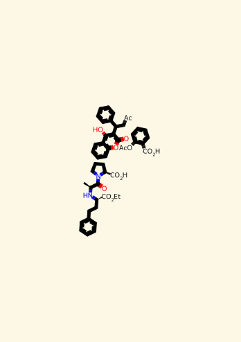 CC(=O)CC(c1ccccc1)c1c(O)c2ccccc2oc1=O.CC(=O)Oc1ccccc1C(=O)O.CCOC(=O)[C@H](CCc1ccccc1)N[C@@H](C)C(=O)N1CCC[C@H]1C(=O)O